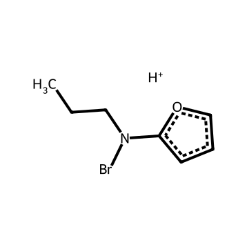 CCCN(Br)c1ccco1.[H+]